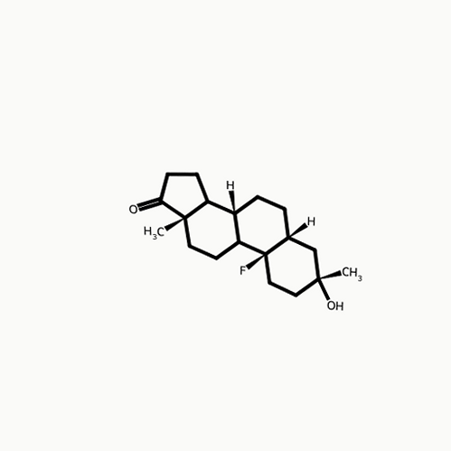 C[C@@]1(O)CC[C@]2(F)C3CC[C@]4(C)C(=O)CCC4[C@@H]3CC[C@@H]2C1